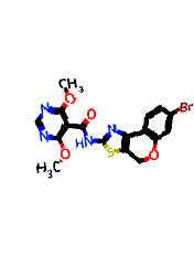 COc1ncnc(OC)c1C(=O)Nc1nc2c(s1)COc1cc(Br)ccc1-2